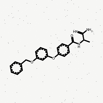 CC(NC(=O)c1ccc(Oc2cccc(OCc3ccccc3)c2)cc1)C(=N)N